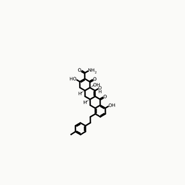 Cc1ccc(CCc2ccc(O)c3c2C[C@H]2C[C@H]4CC(O)=C(C(N)=O)C(=O)[C@@]4(O)C(O)=C2C3=O)cc1